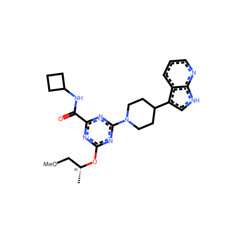 COC[C@@H](C)Oc1nc(C(=O)NC2CCC2)nc(N2CCC(c3c[nH]c4ncccc34)CC2)n1